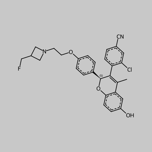 CC1=C(c2ccc(C#N)cc2Cl)[C@H](c2ccc(OCCN3CC(CF)C3)cc2)Oc2ccc(O)cc21